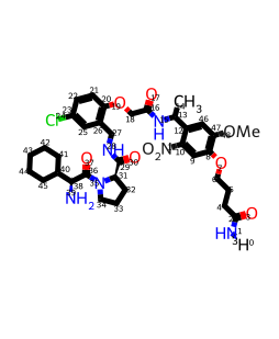 [3H]NC(=O)CCCOc1cc([N+](=O)[O-])c(C(C)NC(=O)COc2ccc(Cl)cc2CNC(=O)[C@H]2CCCN2C(=O)[C@@H](N)C2CCCCC2)cc1OC